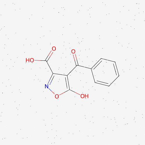 O=C(O)c1noc(O)c1C(=O)c1ccccc1